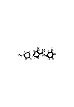 CC[C@H]1CC[C@H](c2ccc(C(=O)Oc3cccc(F)c3)c(F)c2)CC1